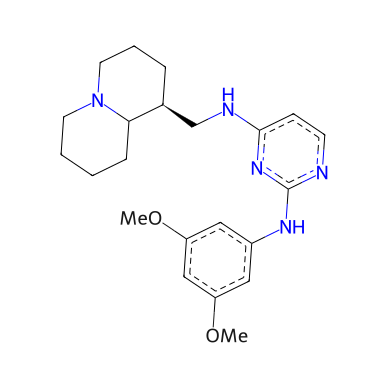 COc1cc(Nc2nccc(NC[C@@H]3CCCN4CCCCC34)n2)cc(OC)c1